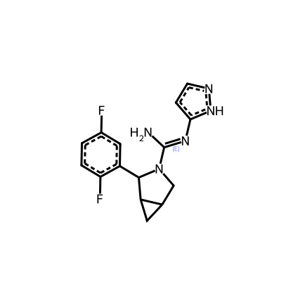 N/C(=N\c1ccn[nH]1)N1CC2CC2C1c1cc(F)ccc1F